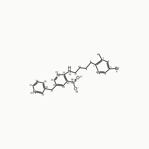 Cc1cc(Br)cnc1CCCCNc1ncc(Cc2cccnc2)cc1[N+](=O)[O-]